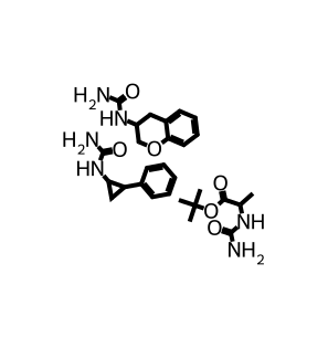 CC(NC(N)=O)C(=O)OC(C)(C)C.NC(=O)NC1CC1c1ccccc1.NC(=O)NC1COc2ccccc2C1